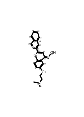 CN(C)CCOc1ccc2oc(-c3cc4ccccc4cn3)cc(=NO)c2c1